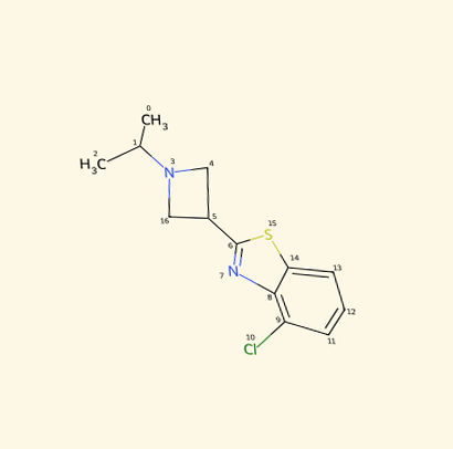 CC(C)N1CC(c2nc3c(Cl)cccc3s2)C1